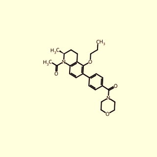 CCCOc1c(-c2ccc(C(=O)N3CCOCC3)cc2)ccc2c1CC[C@H](C)N2C(C)=O